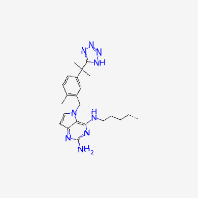 CCCCCNc1nc(N)nc2ccn(Cc3cc(C(C)(C)c4nnn[nH]4)ccc3C)c12